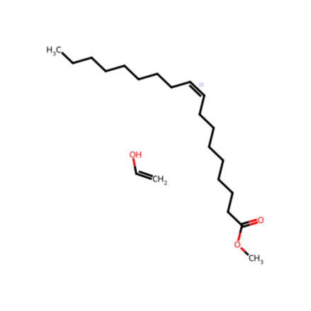 C=CO.CCCCCCCC/C=C\CCCCCCCC(=O)OC